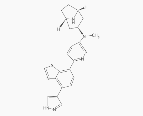 CN(c1ccc(-c2ccc(-c3cn[nH]c3)c3ncsc23)nn1)[C@@H]1C[C@H]2CC[C@@H](C1)N2